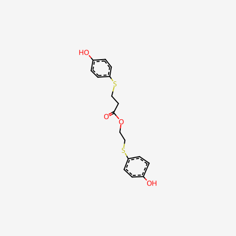 O=C(CCSc1ccc(O)cc1)OCCSc1ccc(O)cc1